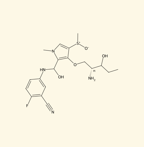 CCC(O)[C@H](N)COc1c([S+](C)[O-])cn(C)c1C(O)Nc1ccc(F)c(C#N)c1